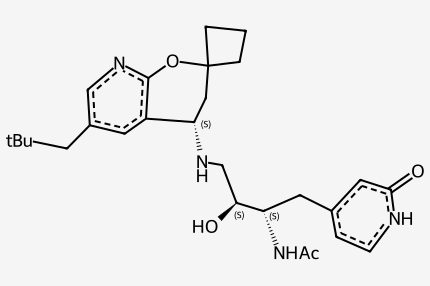 CC(=O)N[C@@H](Cc1cc[nH]c(=O)c1)[C@@H](O)CN[C@H]1CC2(CCC2)Oc2ncc(CC(C)(C)C)cc21